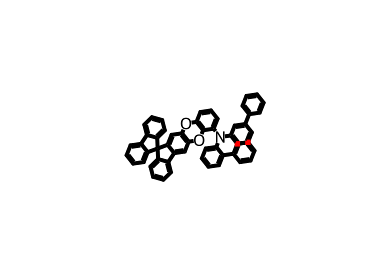 c1ccc(-c2cccc(N(c3ccccc3-c3ccccc3)c3cccc4c3Oc3cc5c(cc3O4)C3(c4ccccc4-c4ccccc43)c3ccccc3-5)c2)cc1